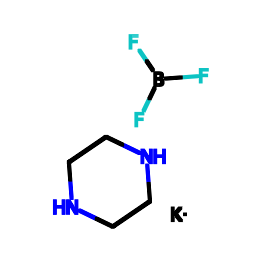 C1CNCCN1.FB(F)F.[K]